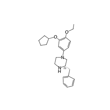 CCOc1ccc(N2CCN[C@@H](Cc3ccccc3)C2)cc1OC1CCCC1